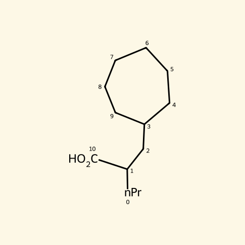 CCCC(CC1CCCCCC1)C(=O)O